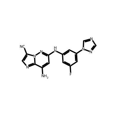 N#Cc1cnc2c(N)cc(Nc3cc(F)cc(-n4cncn4)c3)nn12